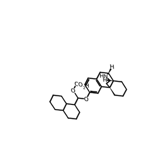 O=C(O)OC(Oc1ccc2c(c1)[C@@]13CCCC[C@H]1[C@@H](C2)NCC3)C1CCCC2CCCCC21